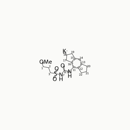 COCCCS(=O)(=O)NC(=O)Nc1c2c(cc3c1CCC3)CCC2.[K]